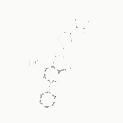 O=c1oc(-c2ccccc2)cc(O)c1CSC1CCC(C2CCCC2)C1